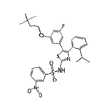 CC(C)c1ccccc1-c1nc(NS(=O)(=O)c2cccc([N+](=O)[O-])c2)sc1-c1cc(F)cc(OCCC(C)(C)C)c1